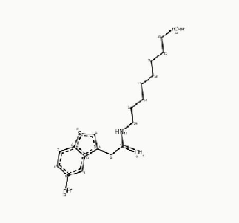 C=C(Cc1csc2ccc(CCC)cc12)NCCCCCCCCCCCCCCCCCC